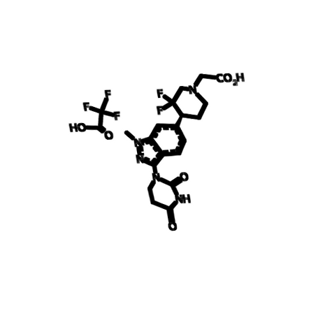 Cn1nc(N2CCC(=O)NC2=O)c2ccc([C@@H]3CCN(CC(=O)O)CC3(F)F)cc21.O=C(O)C(F)(F)F